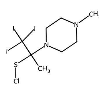 CN1CCN(C(C)(SCl)C(I)(I)I)CC1